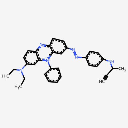 C#CC(C)Nc1ccc(N=Nc2ccc3nc4ccc(N(CC)CC)cc4[n+](-c4ccccc4)c3c2)cc1